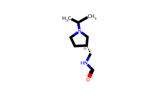 CC(C)N1CC[C@@H](CNC=O)C1